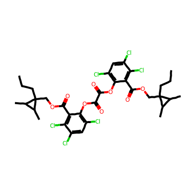 CCCC1(COC(=O)c2c(Cl)c(Cl)cc(Cl)c2OC(=O)C(=O)Oc2c(Cl)cc(Cl)c(Cl)c2C(=O)OCC2(CCC)C(C)C2C)C(C)C1C